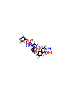 O=C(NC1CCN(S(=O)(=O)c2cccc3c2C=CNC3O)C12CC2)OCc1ccccc1